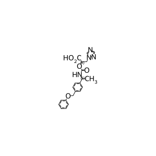 C[C@H](NC(=O)O[C@H](Cn1cncn1)C(=O)O)c1ccc(COc2ccccc2)cc1